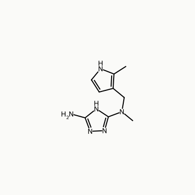 Cc1[nH]ccc1CN(C)c1nnc(N)[nH]1